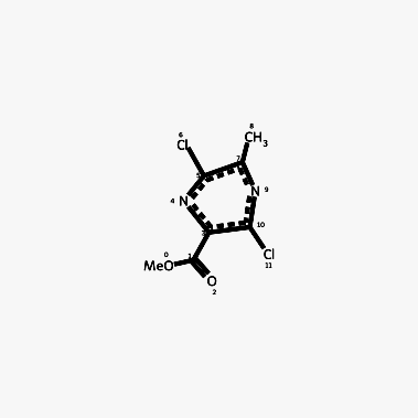 COC(=O)c1nc(Cl)c(C)nc1Cl